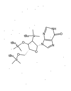 CC(C)(C)[Si](C)(C)OC[C@H]1O[C@@H](n2cnc3c(=O)[nH]cnc32)C([Si](C)(C)C(C)(C)C)C1O[Si](C)(C)C(C)(C)C